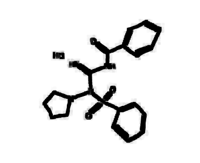 Cl.N=C(NC(=O)c1ccccc1)N(N1CCCC1)S(=O)(=O)c1ccccc1